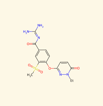 CCn1nc(Oc2ccc(C(=O)N=C(N)N)cc2S(C)(=O)=O)ccc1=O